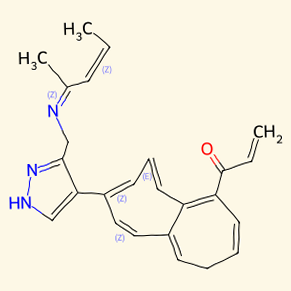 C=CC(=O)C1=C2/C=C/C=C(c3c[nH]nc3C/N=C(C)\C=C/C)/C=C\C2=CCC=C1